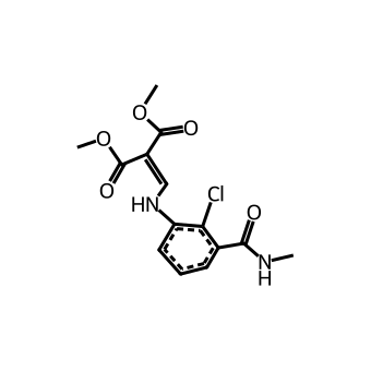 CNC(=O)c1cccc(NC=C(C(=O)OC)C(=O)OC)c1Cl